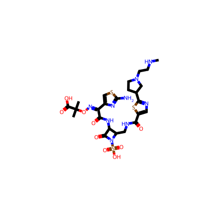 CNCCN1CCC(c2ncc(C(=O)NCC3C(NC(=O)/C(=N\OC(C)(C)C(=O)O)c4csc(N)n4)C(=O)N3S(=O)(=O)O)s2)C1